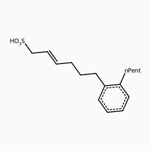 CCCCCc1ccccc1CCCC=CCS(=O)(=O)O